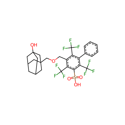 O=S(=O)(O)c1c(C(F)(F)F)c(COCC23CC4CC(CC(O)(C4)C2)C3)c(C(F)(F)F)c(-c2ccccc2)c1C(F)(F)F